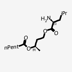 CCCCCC(=O)O[C@H](C)CCOC(=O)[C@@H](N)CC(C)C